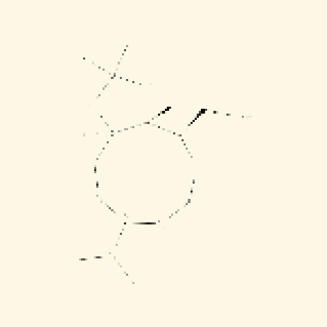 CN(C)C1=NC[C@H]2OC(C)(C)O[C@@H]2[C@@H](CO)OCS1